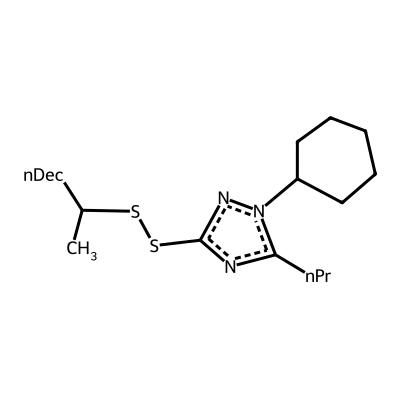 CCCCCCCCCCC(C)SSc1nc(CCC)n(C2CCCCC2)n1